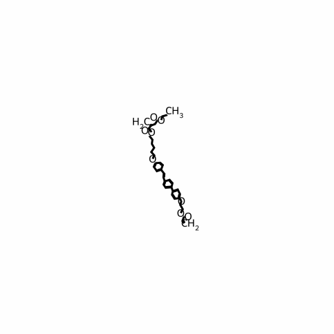 C=CC(=O)OCCOc1ccc(-c2ccc(/C=C/c3ccc(OCCCCCCOC(=O)C(=C)CC(=O)OCCC)cc3)cc2)cc1